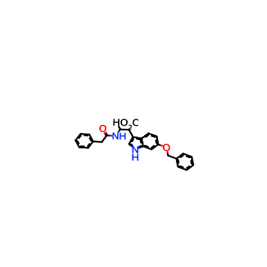 O=C(Cc1ccccc1)NC(Cc1c[nH]c2cc(OCc3ccccc3)ccc12)C(=O)O